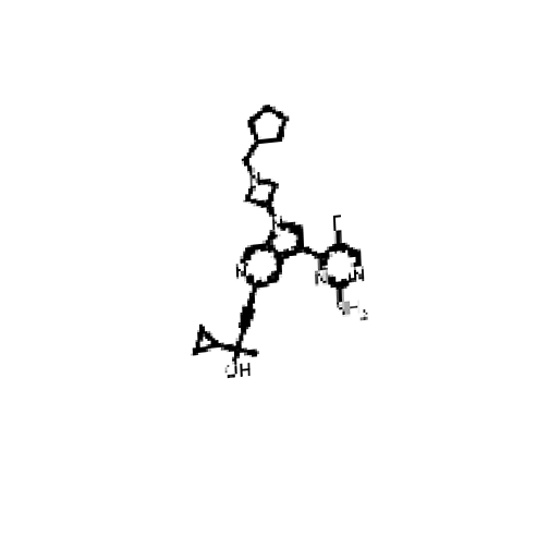 CC(O)(C#Cc1cc2c(-c3nc(N)ncc3F)cn(C3CN(CC4CCCC4)C3)c2cn1)C1CC1